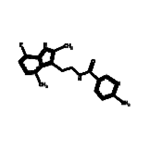 Bc1ccc(C(=O)NCCc2c(C)[nH]c3c(F)ccc(C)c23)cn1